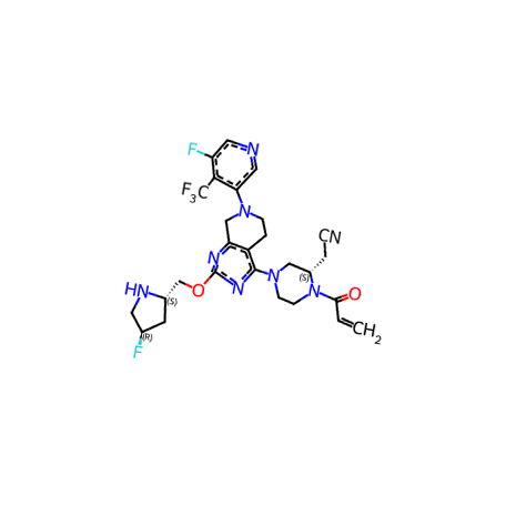 C=CC(=O)N1CCN(c2nc(OC[C@@H]3C[C@@H](F)CN3)nc3c2CCN(c2cncc(F)c2C(F)(F)F)C3)C[C@@H]1CC#N